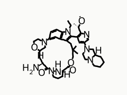 CCn1c(-c2cc(N3CCN4CCCC[C@@H]4C3)cnc2[C@H](C)OC)c2c3cc(ccc31)N1CCO[C@@H](C[C@H](N)C(=O)N3CCC[C@H](N3)C(=O)OCC(C)(C)C2)C1